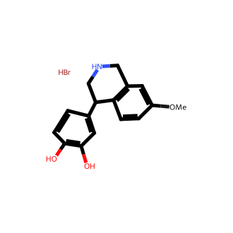 Br.COc1ccc2c(c1)CNCC2c1ccc(O)c(O)c1